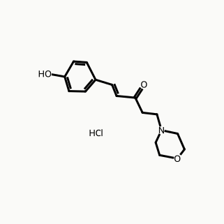 Cl.O=C(/C=C/c1ccc(O)cc1)CCN1CCOCC1